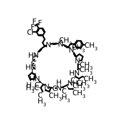 CC[C@H](C)[C@H]1C(C)NC2(CCCC2)CNCCNC=CC(CCc2ccc(C(F)(F)F)c(Cl)c2)=NC=CN(C)C=C(Cc2ccc(C)cc2)N(C)C=C2CCCN2[C@@H](C)C(C)N[C@@H]([C@@H](C)CC)CN[C@@H](CC(C)C)C(C)NCC2[C@H](C)CN21